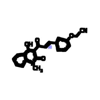 Cn1c(=O)c(C(=O)/C=C/c2cccc(OCC#N)c2)c(O)c2ccccc21